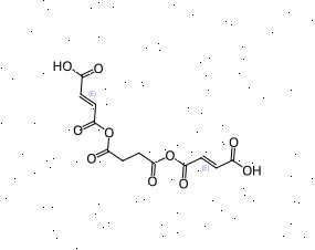 O=C(O)/C=C/C(=O)OC(=O)CCC(=O)OC(=O)/C=C/C(=O)O